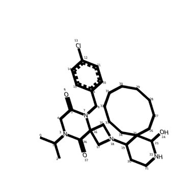 CC(C)N1CC(=O)N(Cc2ccc(Cl)cc2)C2(CN(C3CCNC(O)C34CCCCCCCCC4)C2)C1=O